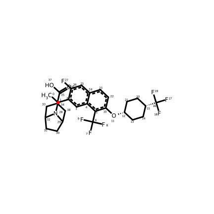 CC(c1cc2c(C(F)(F)F)c(O[C@H]3CC[C@@H](C(F)(F)F)CC3)ccc2cc1F)N1C2CCC1CC(C(=O)O)C2